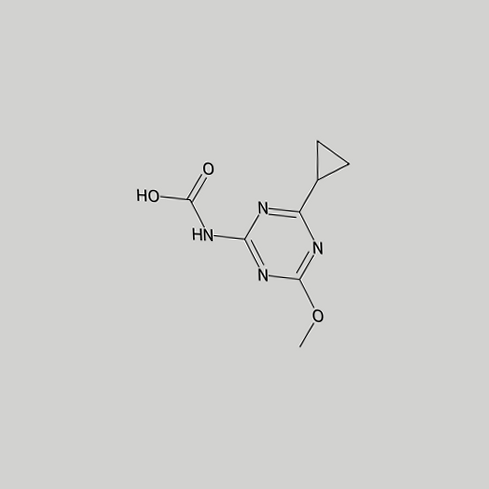 COc1nc(NC(=O)O)nc(C2CC2)n1